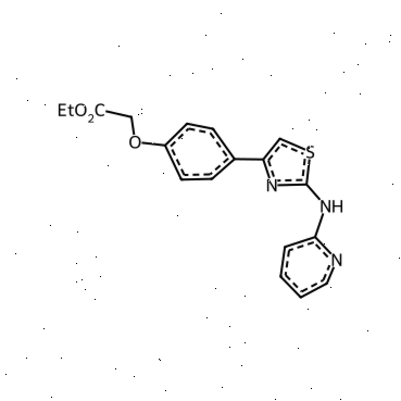 CCOC(=O)COc1ccc(-c2csc(Nc3ccccn3)n2)cc1